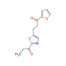 CCC(=O)c1ncc(CCC(=O)c2cccs2)s1